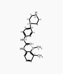 COc1c(C)cccc1NC(=O)Nc1ccc(N2CCNCC2)cc1